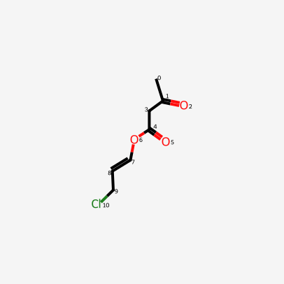 CC(=O)CC(=O)OC=CCCl